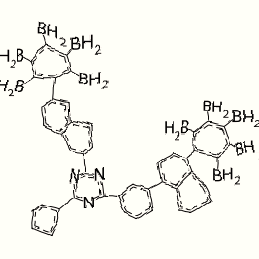 Bc1c(B)c(B)c(-c2ccc3cc(-c4nc(-c5ccccc5)nc(-c5cccc(-c6ccc(-c7c(B)c(B)c(B)c(B)c7B)c7ccccc67)c5)n4)ccc3c2)c(B)c1B